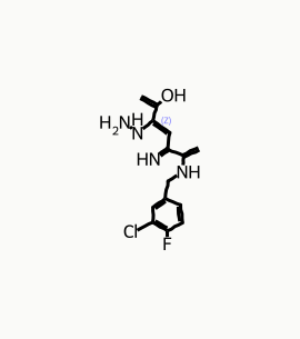 C=C(NCc1ccc(F)c(Cl)c1)C(=N)/C=C(\NN)C(=C)O